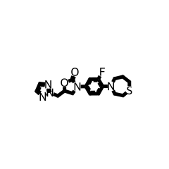 O=C1OC(Cn2nccn2)CN1c1ccc(N2CCCSCC2)c(F)c1